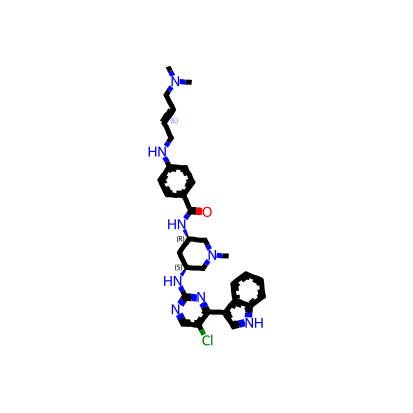 CN(C)C/C=C/CNc1ccc(C(=O)N[C@@H]2C[C@H](Nc3ncc(Cl)c(-c4c[nH]c5ccccc45)n3)CN(C)C2)cc1